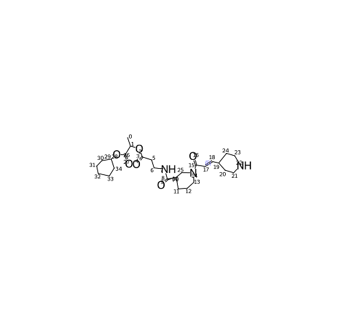 CC(OC(=O)CCNC(=O)[C@@H]1CCCN(C(=O)/C=C/C2CCNCC2)C1)C(=O)OC1CCCCC1